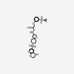 O=S(=O)(c1cccc(OCC(O)CNC2COC3(CCN(S(=O)(=O)c4cnc5c(c4)NCCO5)CC3)C2)c1)C1CC1